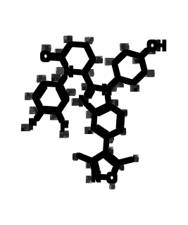 Cc1noc(C)c1-c1ccc2c(c1)nc(C1CCCC(=O)N1c1ccc(F)c(F)c1)n2C1CCC(O)CC1